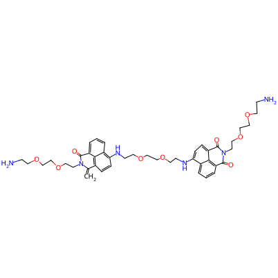 C=c1c2ccc(NCCOCCOCCNc3ccc4c5c(cccc35)C(=O)N(CCOCCOCCN)C4=O)c3cccc(c(=O)n1CCOCCOCCN)c32